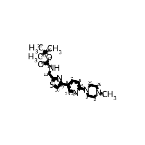 CN1CCN(c2ccc(-c3csc(CNC(=O)OC(C)(C)C)n3)cn2)CC1